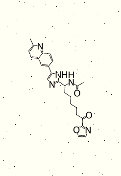 CC(=O)NC(CCCCCC(=O)c1ncco1)c1ncc(-c2ccc3nc(C)ccc3c2)[nH]1